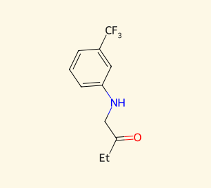 CCC(=O)CNc1cccc(C(F)(F)F)c1